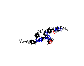 COc1ccc(CN(Cc2ccc(OC)cc2)c2ncc(-c3nc(N4CCOCC4)nc4c3CCN4c3ccc(CC(=O)N4CCN(C)CC4)cc3)cn2)cc1